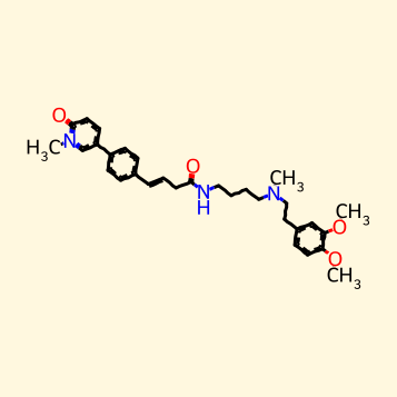 COc1ccc(CCN(C)CCCCNC(=O)C/C=C/c2ccc(-c3ccc(=O)n(C)c3)cc2)cc1OC